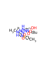 Cc1ccc(S(=O)(=O)n2ccc3c(NC(C)C4CC4)nc(Nc4cc(CCO)n(C(=O)OC(C)(C)C)n4)nc32)cc1